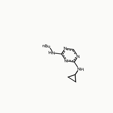 CCCCNc1ncnc(NC2CC2)n1